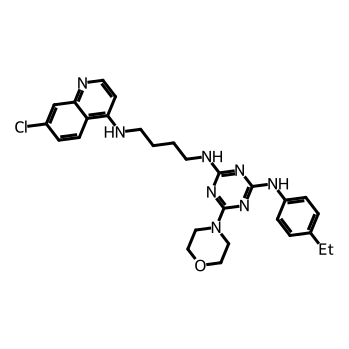 CCc1ccc(Nc2nc(NCCCCNc3ccnc4cc(Cl)ccc34)nc(N3CCOCC3)n2)cc1